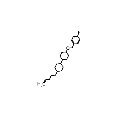 C=CCCCC1CCC(C2CCC(OCc3ccc(F)cc3)CC2)CC1